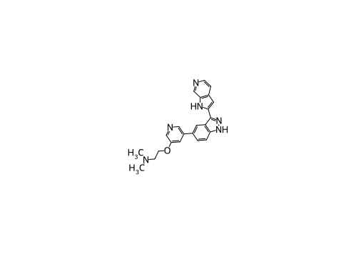 CN(C)CCOc1cncc(-c2ccc3[nH]nc(-c4cc5ccncc5[nH]4)c3c2)c1